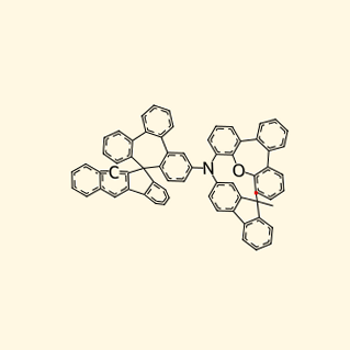 CC1(C)c2ccccc2-c2ccc(N(c3ccc4c(c3)-c3ccccc3-c3ccccc3C43c4ccccc4-c4cc5ccccc5cc43)c3cccc4c3Oc3ccccc3-c3ccccc3-4)cc21